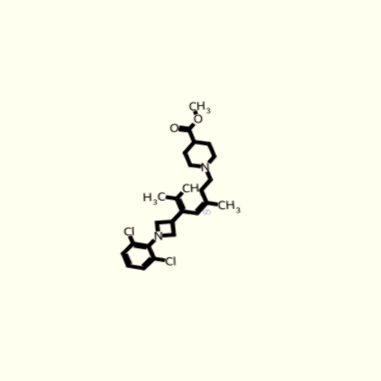 COC(=O)C1CCN(CC/C(C)=C\C(=C(C)C)C2CN(c3c(Cl)cccc3Cl)C2)CC1